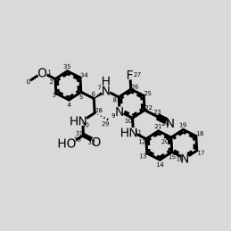 COc1ccc([C@@H](Nc2nc(Nc3ccc4ncccc4c3)c(C#N)cc2F)[C@H](C)NC(=O)O)cc1